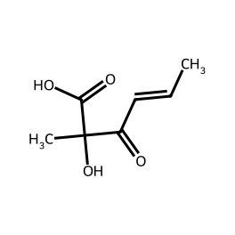 CC=CC(=O)C(C)(O)C(=O)O